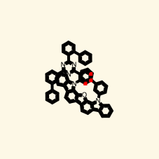 c1ccc(-c2cccc(-c3nc(-c4ccccc4-c4ccccc4)nc(-c4ccccc4-n4c5ccccc5c5ccc6c7ccc8c9ccccc9n(-c9cccc(-c%10ccccc%10)c9)c8c7oc6c54)n3)c2)cc1